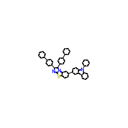 c1ccc(-c2ccc(-c3nc4sc5ccc(-c6ccc7c(c6)c6ccccc6n7-c6ccccc6)cc5n4c3-c3ccc(-c4ccccc4)cc3)cc2)cc1